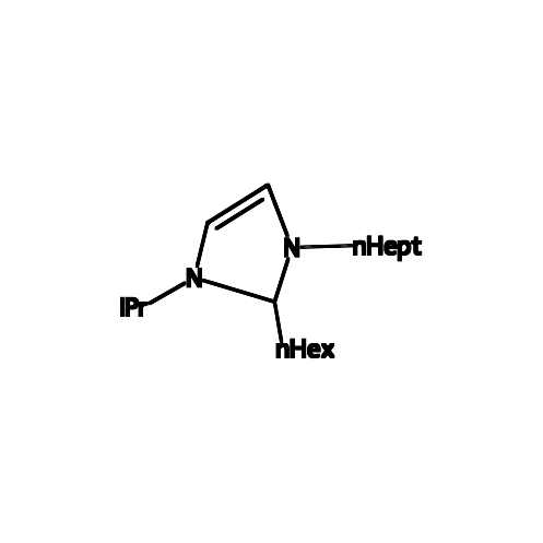 CCCCCCCN1C=CN(C(C)C)C1CCCCCC